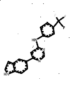 FC(F)(F)c1ccc(Nc2cc(-c3ccc4[nH]ccc4c3)ncn2)cc1